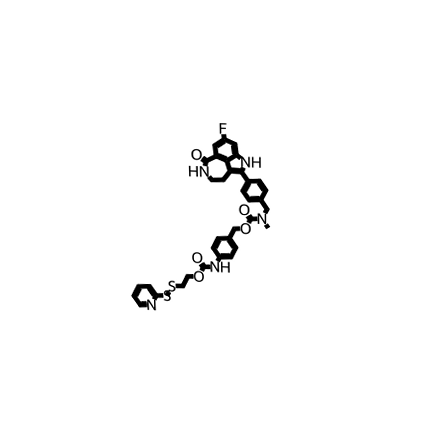 CN(Cc1ccc(-c2[nH]c3cc(F)cc4c3c2CCNC4=O)cc1)C(=O)OCc1ccc(NC(=O)OCCSSc2ccccn2)cc1